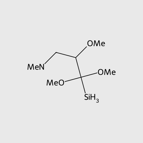 CNCC(OC)C([SiH3])(OC)OC